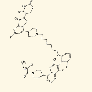 C/C=C(\Cl)C(=O)N1CCN(c2ncnc3c(F)c(-c4c(F)cccc4OCCCCCCCN4CCC(c5cc(F)cc6c5CN(C5CCC(=O)NC5=O)C6=O)CC4)c(Cl)cc23)CC1